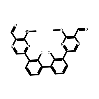 CNc1nc(-c2cccc(-c3cccc(-c4cnc(C=O)c(OC)n4)c3Cl)c2Cl)cnc1C=O